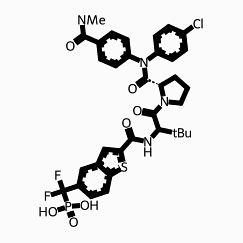 CNC(=O)c1ccc(N(C(=O)[C@@H]2CCCN2C(=O)C(NC(=O)c2cc3cc(C(F)(F)P(=O)(O)O)ccc3s2)C(C)(C)C)c2ccc(Cl)cc2)cc1